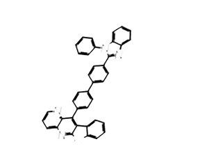 c1ccc(-n2c(-c3ccc(-c4ccc(-c5c6ncccc6nc6oc7ccccc7c56)cc4)cc3)nc3ccccc32)cc1